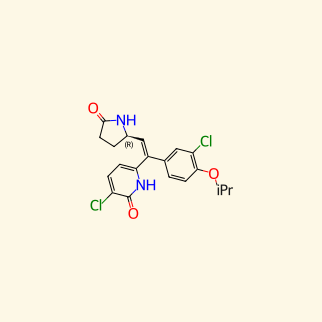 CC(C)Oc1ccc(C(=C[C@H]2CCC(=O)N2)c2ccc(Cl)c(=O)[nH]2)cc1Cl